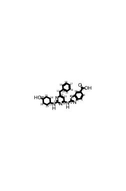 O=C(O)c1ccc2nc(Nc3cc(Cc4ccccc4)nc(NC4CCC(O)CC4)n3)sc2c1